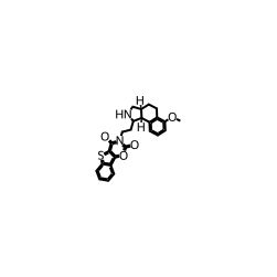 COc1cccc2c1CC[C@H]1CNC(CCn3c(=O)oc4c(sc5ccccc54)c3=O)[C@@H]21